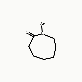 CC(=O)N1CCCCCCC1=O